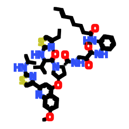 C/C=C/CCCCC(=O)Nc1ccccc1NC(=O)C(=O)CNC(=O)[C@@H]1C[C@H](Oc2cc(-c3csc(NC(C)C)n3)nc3cc(OC)ccc23)CN1C(=O)C(Nc1nc(CC)cs1)C(C)C